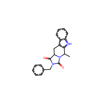 CC1c2[nH]c3ccccc3c2CC2C(=O)N(Cc3ccccc3)C(=O)N21